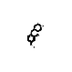 FC(F)(F)c1ccc(CN2CCNCC2)c(Br)c1